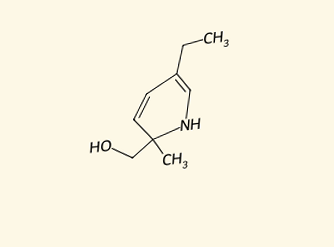 CCC1=CNC(C)(CO)C=C1